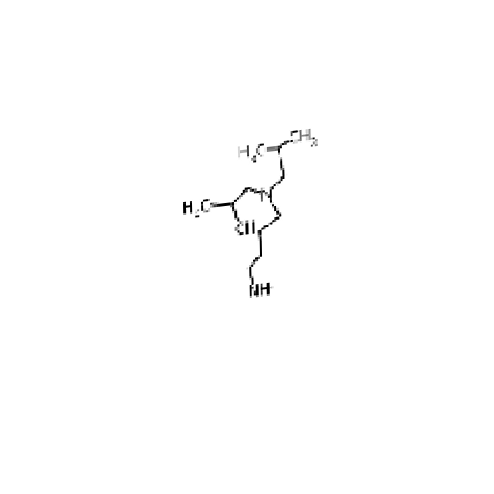 CC(C)CN(CCCC[NH])CC(C)C